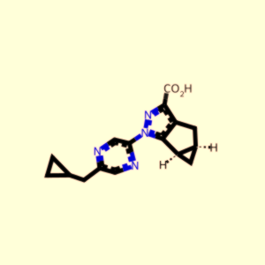 O=C(O)c1nn(-c2cnc(CC3CC3)cn2)c2c1C[C@H]1C[C@@H]21